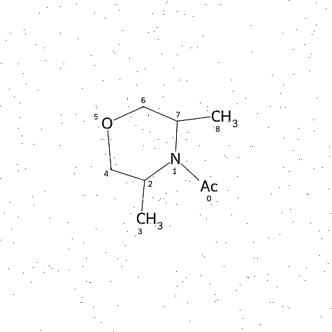 CC(=O)N1C(C)COCC1C